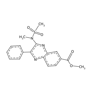 COC(=O)c1ccc2nc(-c3ccccc3)c(N(C)S(C)(=O)=O)nc2c1